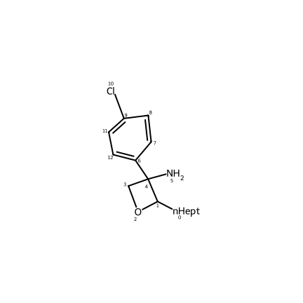 CCCCCCCC1OCC1(N)c1ccc(Cl)cc1